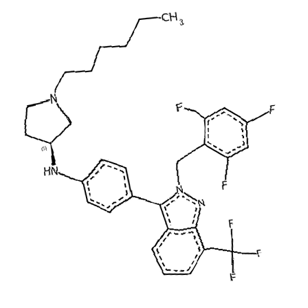 CCCCCCN1CC[C@H](Nc2ccc(-c3c4cccc(C(F)(F)F)c4nn3Cc3c(F)cc(F)cc3F)cc2)C1